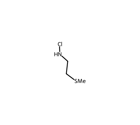 CSCCNCl